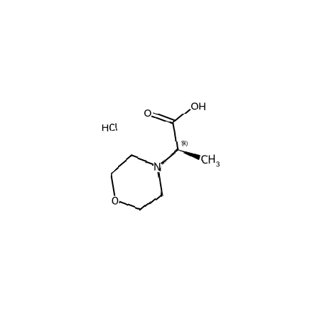 C[C@H](C(=O)O)N1CCOCC1.Cl